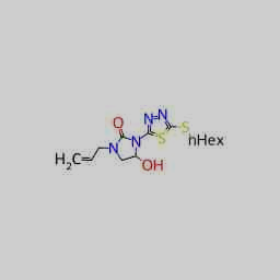 C=CCN1CC(O)N(c2nnc(SCCCCCC)s2)C1=O